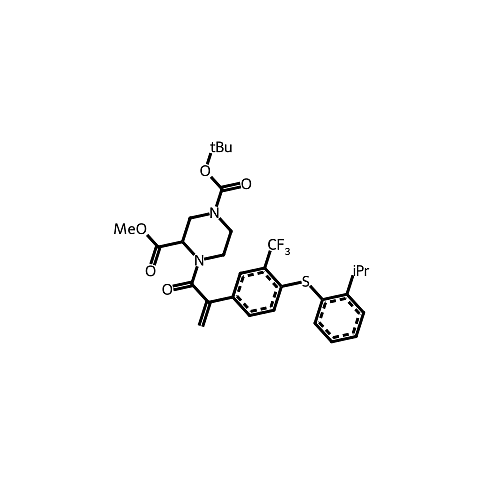 C=C(C(=O)N1CCN(C(=O)OC(C)(C)C)CC1C(=O)OC)c1ccc(Sc2ccccc2C(C)C)c(C(F)(F)F)c1